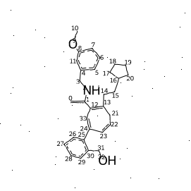 C=C(NCc1cccc(OC)c1)C1=C(CCC2CCCC2)CC=CC(c2ccccc2CO)=C1